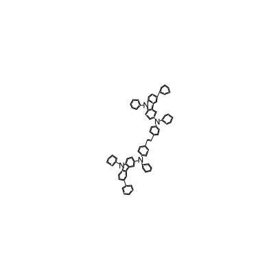 C(=C\c1ccc(N(c2ccccc2)c2ccc3c(c2)c2cc(-c4ccccc4)ccc2n3-c2ccccc2)cc1)/c1ccc(N(c2ccccc2)c2ccc3c(c2)c2cc(-c4ccccc4)ccc2n3-c2ccccc2)cc1